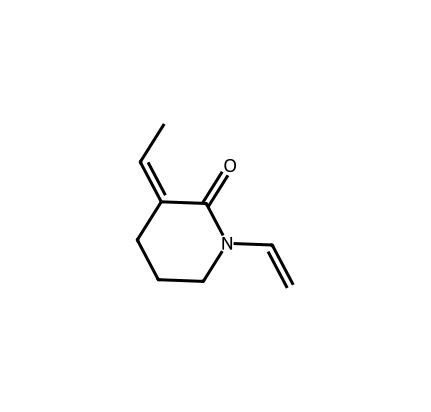 C=CN1CCC/C(=C/C)C1=O